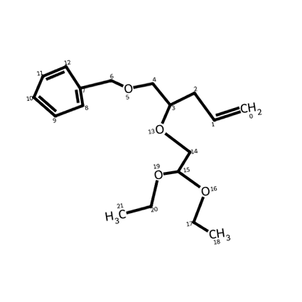 C=CCC(COCc1ccccc1)OCC(OCC)OCC